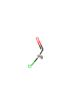 O=[CH][Hg][Cl]